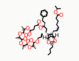 C=CCOC(=O)[C@@H](C)OC(=O)[C@@H](C)OC(=O)[C@@H](C)OC(=O)[C@@H](C)OC(=O)CCC(=O)O[C@@H](CCc1ccccc1)CC[C@@H]1[C@@H](C/C=C\CCCC(=O)OC(C)C)[C@H]2C[C@@H]1OB(CCCC)O2